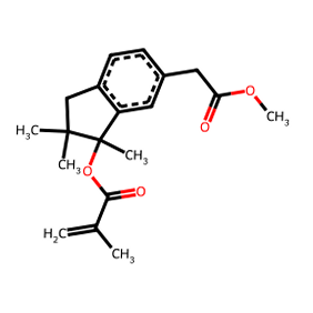 C=C(C)C(=O)OC1(C)c2cc(CC(=O)OC)ccc2CC1(C)C